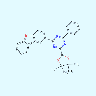 CC1(C)OB(c2nc(-c3ccccc3)nc(-c3ccc4oc5ccccc5c4c3)n2)OC1(C)C